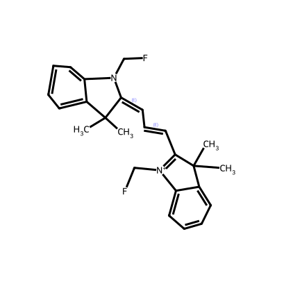 CC1(C)C(/C=C/C=C2/N(CF)c3ccccc3C2(C)C)=[N+](CF)c2ccccc21